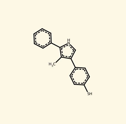 Cc1c(-c2ccc(S)cc2)c[nH]c1-c1ccccc1